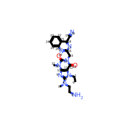 CCn1c(N(C)CCN)nc2c1c(=O)n(Cc1nc(C#N)c3ccccc3n1)c(=O)n2C